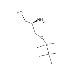 CC(C)(C)[Si](C)(C)OC[C@H](N)CO